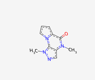 Cn1ncc2c1n1cccc1c(=O)n2C